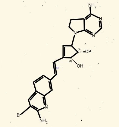 Nc1nc2cc(/C=C/C3=CC(N4CCc5c(N)ncnc54)[C@H](O)[C@@H]3O)ccc2cc1Br